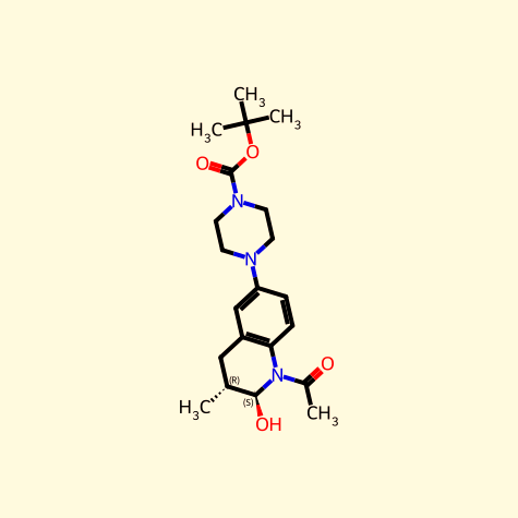 CC(=O)N1c2ccc(N3CCN(C(=O)OC(C)(C)C)CC3)cc2C[C@@H](C)[C@@H]1O